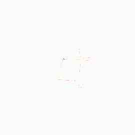 N.O=C(P(=O)(O)O)P(=O)(O)O